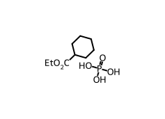 CCOC(=O)C1CCCCC1.O=P(O)(O)O